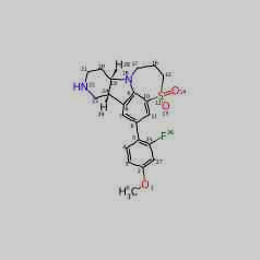 COc1ccc(-c2cc3c4c(c2)S(=O)(=O)CCCN4[C@H]2CCNC[C@@H]32)c(F)c1